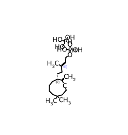 C=C1CCCC(C)(C)CCCC[C@@H]1CC/C(C)=C/CO[PH](O)(O)O[PH](O)(O)O